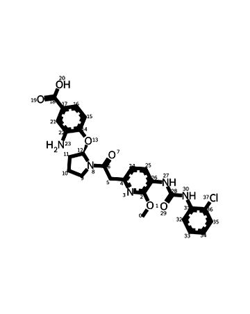 COc1nc(CC(=O)N2CCC[C@H]2Oc2ccc(C(=O)O)cc2N)ccc1NC(=O)Nc1ccccc1Cl